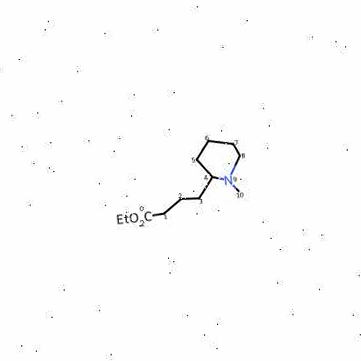 CCOC(=O)CCCC1CCCCN1C